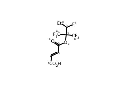 CCC(F)C(OC(=O)/C=C/C(=O)O)(C(F)(F)F)C(F)(F)F